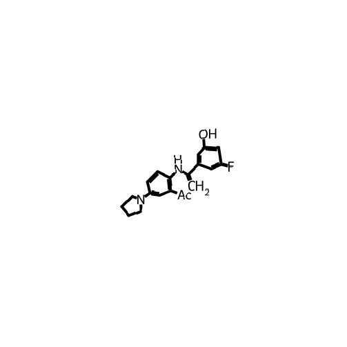 C=C(Nc1ccc(N2CCCC2)cc1C(C)=O)c1cc(O)cc(F)c1